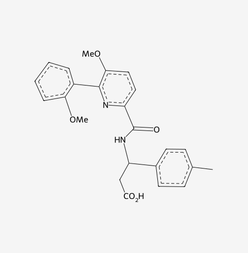 COc1ccccc1-c1nc(C(=O)NC(CC(=O)O)c2ccc(C)cc2)ccc1OC